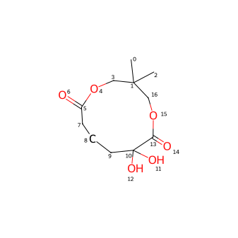 CC1(C)COC(=O)CCCC(O)(O)C(=O)OC1